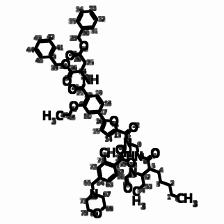 CCCCCC(C(=O)NCNC(=O)c1ccc(-c2ccc(C(=O)NC(CC(=O)OCc3ccccc3)C(=O)OCc3ccccc3)c(OCC)c2)o1)C(CC)N(C=O)OC(=O)c1ccc(CN2CCOCC2)cc1C